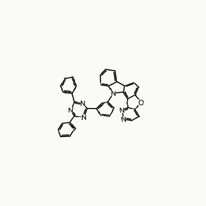 c1ccc(-c2nc(-c3ccccc3)nc(-c3cccc(-n4c5ccccc5c5ccc6oc7ccnnc7c6c54)c3)n2)cc1